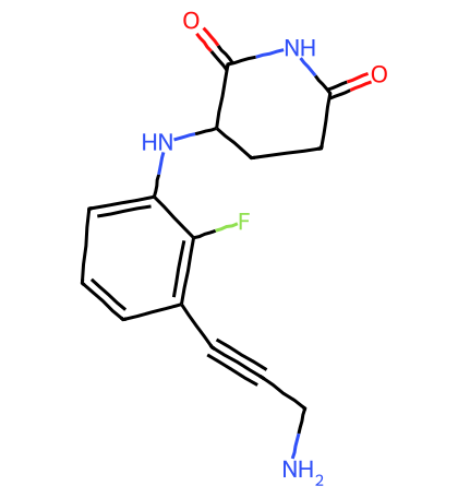 NCC#Cc1cccc(NC2CCC(=O)NC2=O)c1F